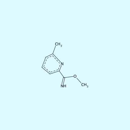 COC(=N)c1cccc(C)n1